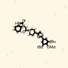 COc1c(C(C)(C)C)cc(-c2nc(C3CCN(C(=O)Cn4c(=O)[nH]c5ccccc54)CC3)cs2)cc1C(C)(C)C